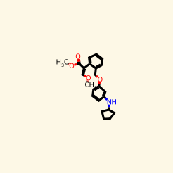 CO/C=C(/C(=O)OC)c1ccccc1COc1cccc(NC2CCCC2)c1